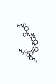 C[C@@H]1CN(c2cccc(-c3ccc4cnc(CNC(=O)c5ccc6c(c5)NCC6)cc4n3)n2)C[C@H](C)O1